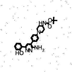 CC(C)(C)OC(=O)NC1CCN(c2ccc(-c3cc(-c4ccccc4O)nnc3N)cc2)CC1